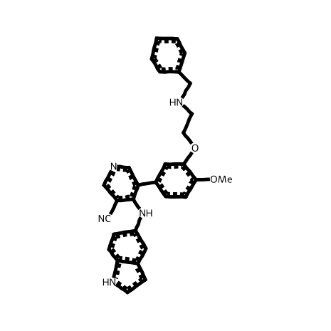 COc1ccc(-c2cncc(C#N)c2Nc2ccc3[nH]ccc3c2)cc1OCCNCc1ccccc1